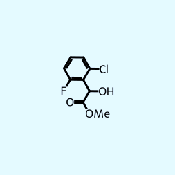 COC(=O)C(O)c1c(F)cccc1Cl